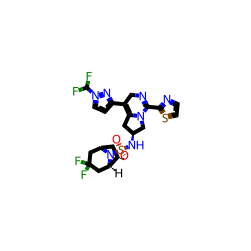 C[C@H]1CC2CC(F)(F)C[C@H]1N2S(=O)(=O)N[C@H]1CC2=C(c3ccn(C(F)F)n3)CN=C(c3nccs3)N2C1